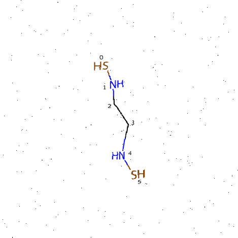 SNCCNS